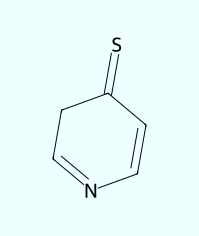 S=C1C=CN=CC1